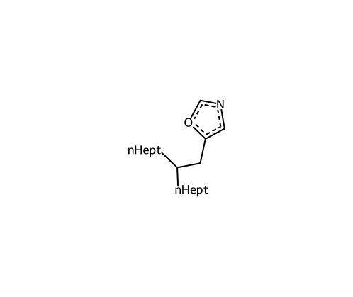 CCCCCCCC(CCCCCCC)Cc1cnco1